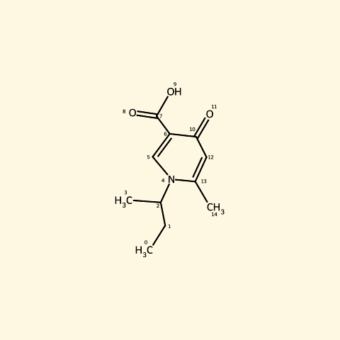 CCC(C)n1cc(C(=O)O)c(=O)cc1C